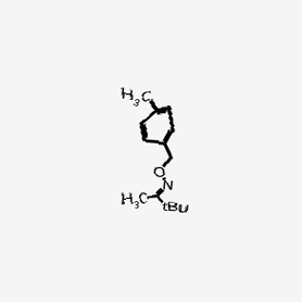 C/C(=N\OCc1ccc(C)cc1)C(C)(C)C